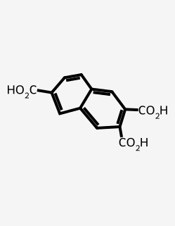 O=C(O)c1ccc2cc(C(=O)O)c(C(=O)O)cc2c1